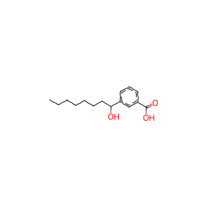 CCCCCCCC(O)c1cccc(C(=O)O)c1